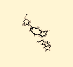 CC1CNC(c2ccc3c(C(=O)N[C@H]4CN5CCC4CC5)n[nH]c3c2)=N1